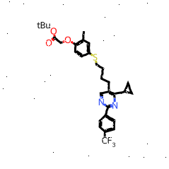 Cc1cc(SCCCCc2cnc(-c3ccc(C(F)(F)F)cc3)nc2C2CC2)ccc1OCC(=O)OC(C)(C)C